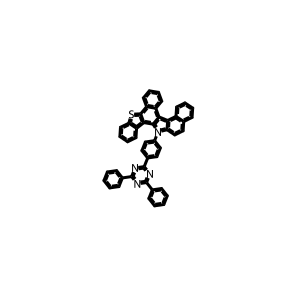 c1ccc(-c2nc(-c3ccccc3)nc(-c3ccc(-n4c5ccc6ccccc6c5c5c6ccccc6c6sc7ccccc7c6c54)cc3)n2)cc1